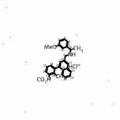 COc1cccc([C@@H](C)NCc2cc(-c3cccc(C(=O)O)c3C)c3ccccc3c2)c1.Cl